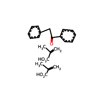 C=C(C)C(=O)O.C=C(C)C(=O)O.O=C(Cc1ccccc1)c1ccccc1